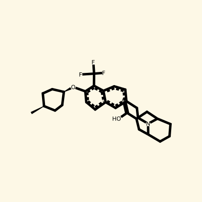 C[C@H]1CC[C@@H](Oc2ccc3cc(CCN4C5CCCC4CC(C(=O)O)C5)ccc3c2C(F)(F)F)CC1